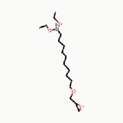 CCO[SiH](CCCCCCCCCCOCC1CO1)OCC